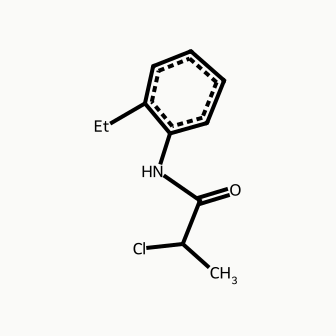 CCc1ccccc1NC(=O)C(C)Cl